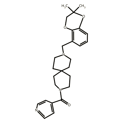 CC1(C)COc2c(CN3CCC4(CC3)CCN(C(=O)c3ccncc3)CC4)cccc2O1